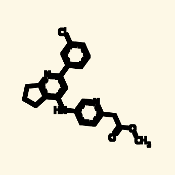 COC(=O)Cc1ccc(Nc2cc(-c3cccc(Cl)c3)nc3c2CCC3)cn1